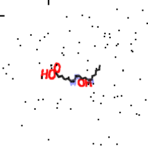 CCCCC/C=C\CC(O)/C=C\C=C/CCCCC(=O)O